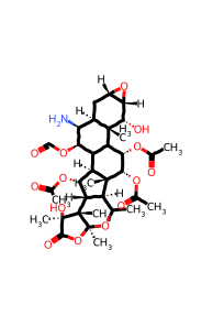 CC(=O)O[C@H]1[C@@H]2[C@H](C(C)O[C@@]3(C)OC(=O)[C@@](C)(O)[C@]23C)[C@]2(C)[C@@H]1C1C([C@H](OC(C)=O)[C@@H]2OC(C)=O)[C@]2(C)[C@H](C[C@@H]3O[C@@H]3[C@@H]2O)[C@H](N)[C@@H]1OC=O